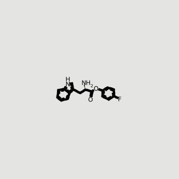 N[C@@H](Cc1c[nH]c2ccccc12)C(=O)Oc1ccc(F)cc1